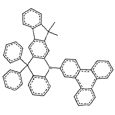 CC1(C)c2ccccc2-c2cc3c(cc21)N(c1ccc2c4ccccc4c4ccccc4c2c1)c1ccccc1C3(c1ccccc1)c1ccccc1